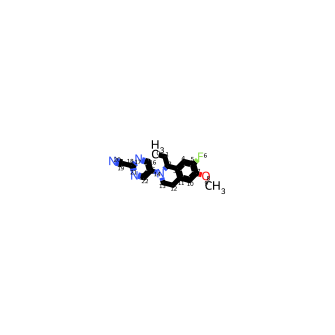 CCC1c2cc(F)c(OC)cc2CCN1c1cnc(C#N)nc1